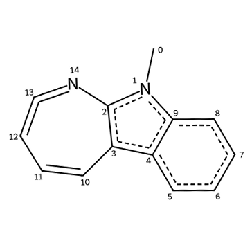 Cn1c2c(c3ccccc31)C=CC=C=N2